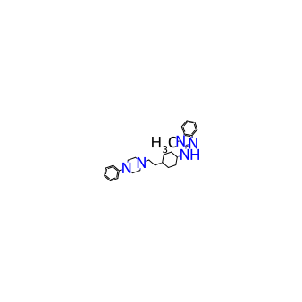 Cn1c(N[C@H]2CC[C@H](CCN3CCN(c4ccccc4)CC3)CC2)nc2ccccc21